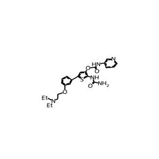 CCN(CC)CCOc1cccc(-c2cc(OC(=O)Nc3cccnc3)c(NC(N)=O)s2)c1